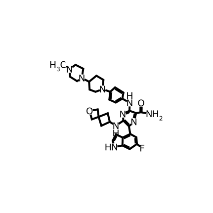 CN1CCN(C2CCN(c3ccc(Nc4nc(NC5CC6(COC6)C5)c(-c5cc(F)cc6[nH]ccc56)nc4C(N)=O)cc3)CC2)CC1